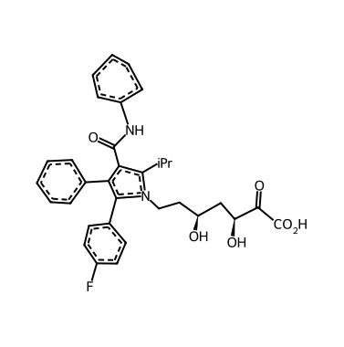 CC(C)c1c(C(=O)Nc2ccccc2)c(-c2ccccc2)c(-c2ccc(F)cc2)n1CC[C@H](O)C[C@H](O)C(=O)C(=O)O